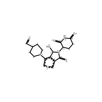 O=CC1CCN(c2cccc3c2C(O)N(C2CCC(=O)NC2=O)C3=O)CC1